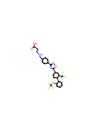 O=C(O)CCNCc1ccc(-c2noc(-c3ccc(-c4ccccc4OC(F)(F)F)c(C(F)(F)F)c3)n2)cc1